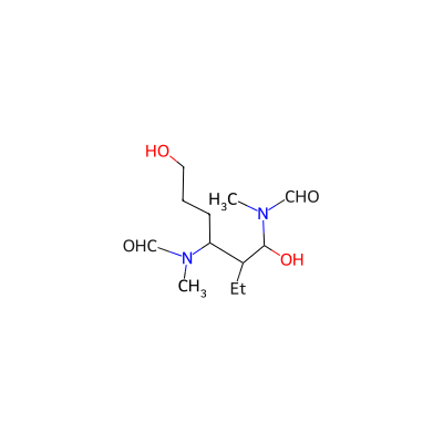 CCC(C(O)N(C)C=O)C(CCCO)N(C)C=O